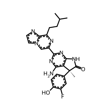 CC(C)CCc1nc(-c2nc(N)c3c(n2)NC(=O)[C@@]3(C)c2ccc(O)c(F)c2)cn2ccnc12